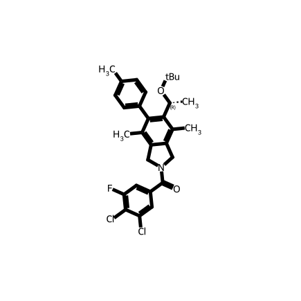 Cc1ccc(-c2c(C)c3c(c(C)c2[C@@H](C)OC(C)(C)C)CN(C(=O)c2cc(F)c(Cl)c(Cl)c2)C3)cc1